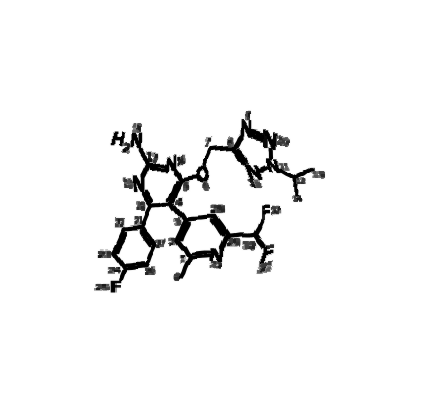 Cc1cc(-c2c(OCc3nnn(C(C)C)n3)nc(N)nc2-c2ccc(F)cc2)cc(C(F)F)n1